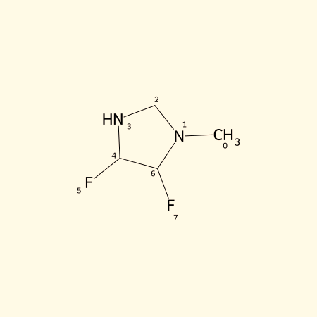 CN1CNC(F)C1F